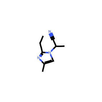 CCc1nc(C)cn1C(C)C#N